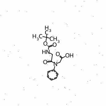 CC(C)(C)OC(=O)NCC(=O)N(CC(=O)O)c1ccccc1